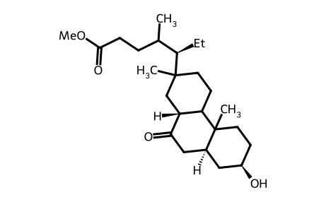 CC[C@H](C(C)CCC(=O)OC)C1(C)CCC2[C@@H](C1)C(=O)C[C@@H]1C[C@H](O)CCC21C